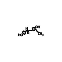 CCCCc1cc(CCC(=O)Nc2ccc(O)cc2)ccc1O